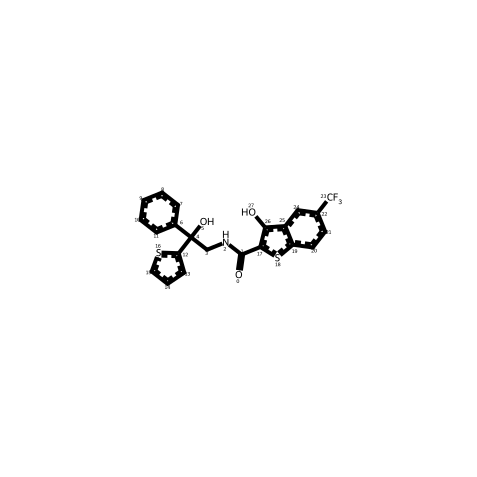 O=C(NCC(O)(c1ccccc1)c1cccs1)c1sc2ccc(C(F)(F)F)cc2c1O